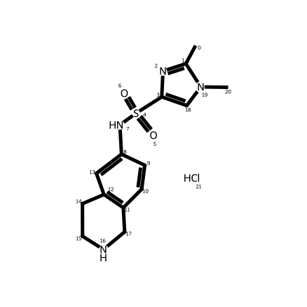 Cc1nc(S(=O)(=O)Nc2ccc3c(c2)CCNC3)cn1C.Cl